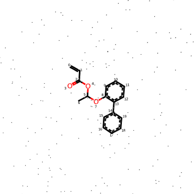 C=CC(=O)OC(C)Oc1ccccc1-c1ccccc1